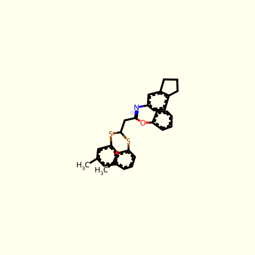 Cc1cccc(SC(C/C(=N/c2ccc3c(c2)CCC3)Oc2ccccc2)Sc2cccc(C)c2)c1